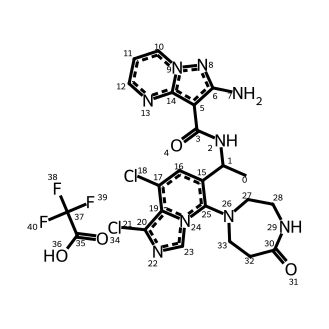 CC(NC(=O)c1c(N)nn2cccnc12)c1cc(Cl)c2c(Cl)ncn2c1N1CCNC(=O)CC1.O=C(O)C(F)(F)F